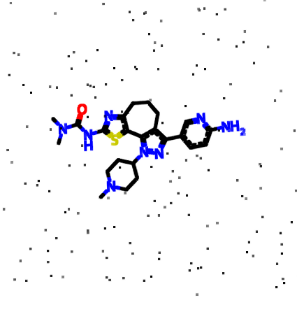 CN1CCC(n2nc(-c3ccc(N)nc3)c3c2-c2sc(NC(=O)N(C)C)nc2CCC3)CC1